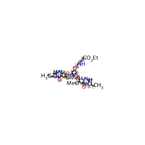 C/C=C1\C[C@H]2C=Nc3cc(OCc4cc(OCCNCCCC(=O)OCC)cc(COc5cc6c(cc5OC)C(=O)N5C/C(=C/C)C[C@H]5C=N6)n4)c(OC)cc3C(=O)N2C1